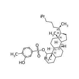 Cc1ccc(S(=O)(=O)OC2CCCC3CC[C@@H]4[C@H](CC[C@]5(C)[C@@H]([C@H](C)CCCC(C)C)CC[C@@H]45)[C@]32C)cc1O